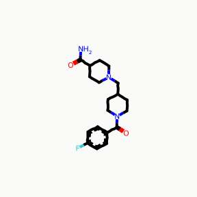 NC(=O)C1CCN(CC2CCN(C(=O)c3ccc(F)cc3)CC2)CC1